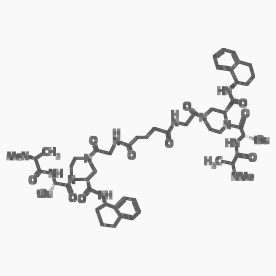 CNC(C)C(=O)N[C@H](C(=O)N1CCN(C(=O)CNC(=O)CCCC(=O)NCC(=O)N2CCN(C(=O)[C@@H](NC(=O)[C@H](C)NC)C(C)(C)C)[C@H](C(=O)N[C@@H]3CCCc4ccccc43)C2)C[C@H]1C(=O)N[C@@H]1CCCc2ccccc21)C(C)(C)C